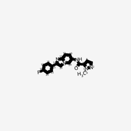 Cn1nccc1C(=O)Nc1ccc2nc(-c3ccc(F)cc3)cn2c1